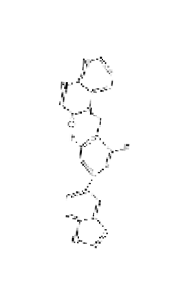 O=c1cnc2ncccc2n1Cc1c(F)cc(-c2ccc3occc3c2)cc1F